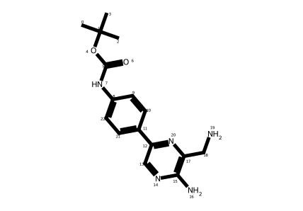 CC(C)(C)OC(=O)Nc1ccc(-c2cnc(N)c(CN)n2)cc1